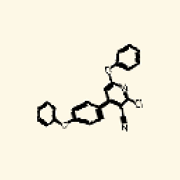 N#Cc1c(-c2ccc(Oc3ccccc3)cc2)cc(Oc2ccccc2)nc1Cl